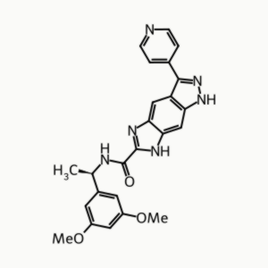 COc1cc(OC)cc([C@@H](C)NC(=O)c2nc3cc4c(-c5ccncc5)n[nH]c4cc3[nH]2)c1